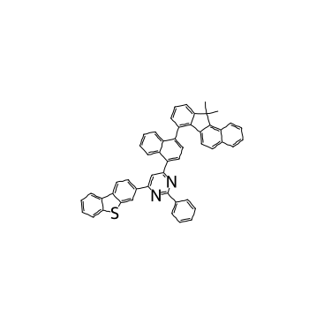 CC1(C)c2cccc(-c3ccc(-c4cc(-c5ccc6c(c5)sc5ccccc56)nc(-c5ccccc5)n4)c4ccccc34)c2-c2ccc3ccccc3c21